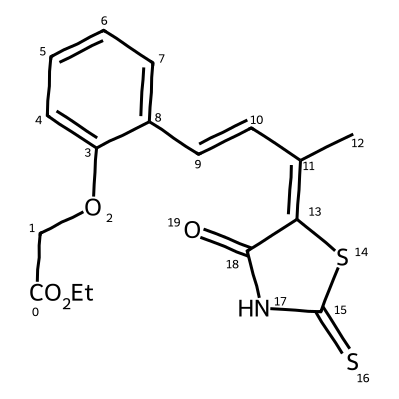 CCOC(=O)COc1ccccc1C=CC(C)=C1SC(=S)NC1=O